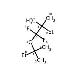 CCC(C)(C)OC(F)(F)C(C)(C)CC